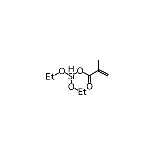 C=C(C)C(=O)O[SiH](OCC)OCC